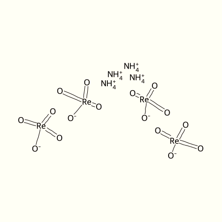 [NH4+].[NH4+].[NH4+].[NH4+].[O]=[Re](=[O])(=[O])[O-].[O]=[Re](=[O])(=[O])[O-].[O]=[Re](=[O])(=[O])[O-].[O]=[Re](=[O])(=[O])[O-]